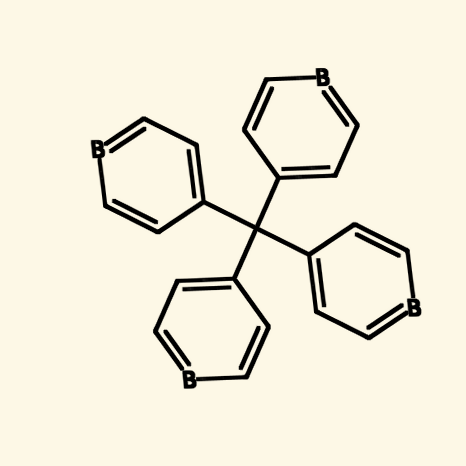 b1ccc(C(c2ccbcc2)(c2ccbcc2)c2ccbcc2)cc1